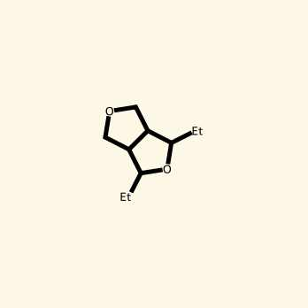 CCC1OC(CC)C2COCC12